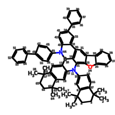 CC1(C)CCC(C)(C)c2cc(N3c4cc5c(cc4B4c6c(cc7c(oc8ccccc87)c63)-c3cc(-c6ccccc6)ccc3N4c3ccc(-c4ccccc4)cc3)C(C)(C)CCC5(C)C)ccc21